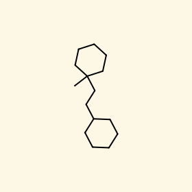 CC1(CCC2CCCCC2)CCCCC1